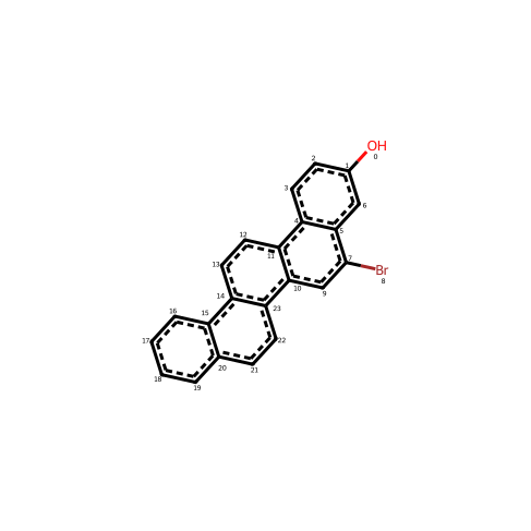 Oc1ccc2c(c1)c(Br)cc1c2ccc2c3ccccc3ccc21